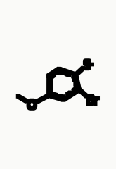 COc1ccc([S])c(Br)c1